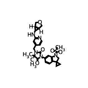 CC1(C)C(=O)N(c2ccc3c(c2)N(S(C)(=O)=O)CC32CC2)C(=O)N1Cc1ccnc(NC2[C@H]3COC[C@@H]23)c1